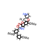 COc1cccc(-c2cc(C(=O)Nc3cc4cc(OC)c(OC5CCNCC5)c(C)c4oc3=O)ccc2OC)c1